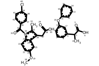 CC(C(=O)O)c1cccc(Oc2ccccc2)c1.COc1ccc2c(c1)c(CC(=O)O)c(C)n2C(=O)c1ccc(Cl)cc1